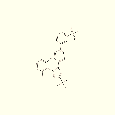 CC(C)(C)c1cn(-c2ccc(-c3cccc(S(C)(=O)=O)c3)cc2)c(-c2c(Cl)cccc2Cl)n1